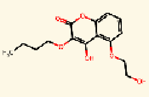 CCCCOc1c(O)c2c(OCCO)cccc2oc1=O